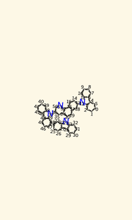 c1ccc2c(c1)c1ccccc1n2-c1ccc2c(c1)cc(-n1c3ccccc3c3ccccc31)c1cc(-n3c4ccccc4c4ccccc43)cnc12